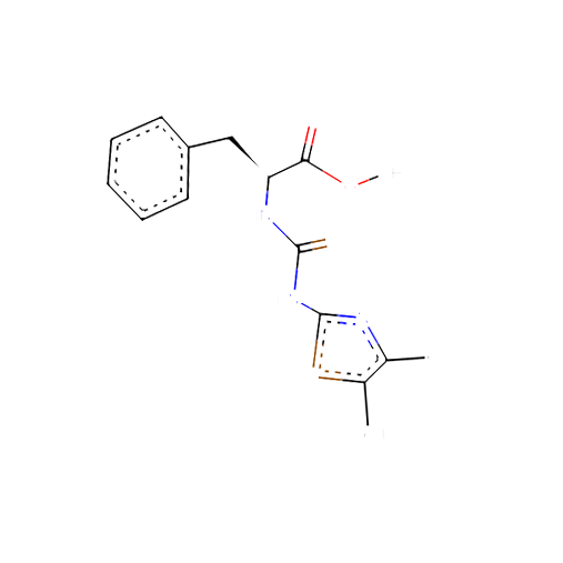 COC(=O)[C@H](Cc1ccccc1)NC(=S)Nc1nc(C)c(C)s1